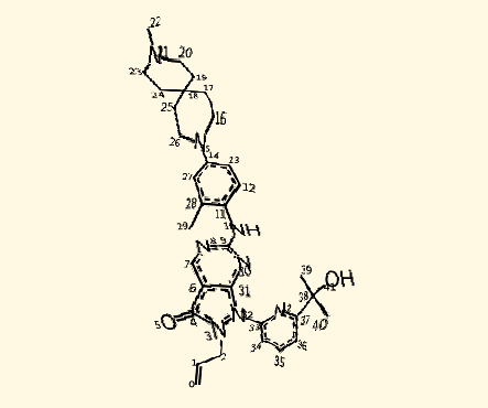 C=CCn1c(=O)c2cnc(Nc3ccc(N4CCC5(CCN(C)CC5)CC4)cc3C)nc2n1-c1cccc(C(C)(C)O)n1